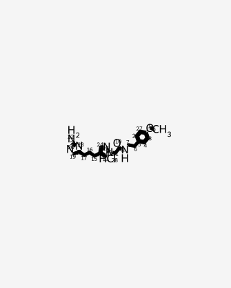 COc1ccc(CCNC(=O)Cn2cc(CCCC3C=NC(N)=N3)cn2)cc1.Cl